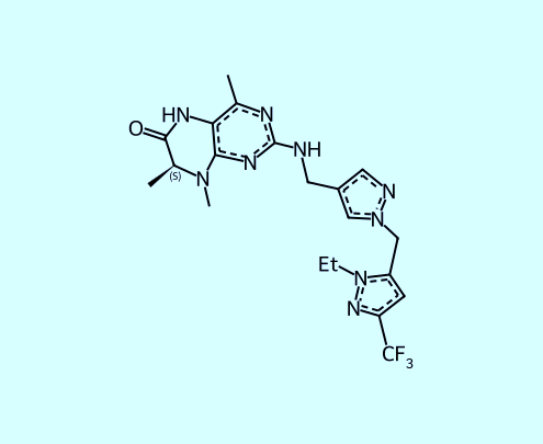 CCn1nc(C(F)(F)F)cc1Cn1cc(CNc2nc(C)c3c(n2)N(C)[C@@H](C)C(=O)N3)cn1